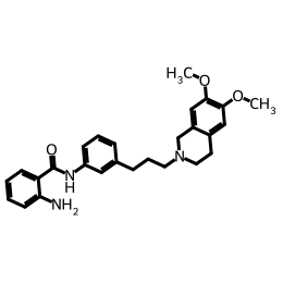 COc1cc2c(cc1OC)CN(CCCc1cccc(NC(=O)c3ccccc3N)c1)CC2